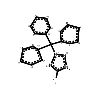 [2H]c1nnn(C(c2ccccc2)(c2ccccc2)c2ccccc2)n1